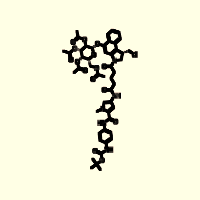 CC(=O)OC[C@H]1O[C@@H](Oc2cc3c(c4ccccc24)[C@H](CCl)CN3C(=O)CCCC(=O)Nc2cc(C(=O)Nc3ccc(NC(=O)OC(C)(C)C)cc3)n(C)c2)[C@H](OC(C)=O)[C@@H](OC(C)=O)[C@H]1OC(C)=O